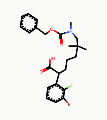 CN(CC(C)(C)CCCC(C(=O)O)c1cccc(Br)c1F)C(=O)OCc1ccccc1